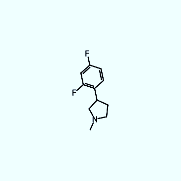 CN1CCC(c2ccc(F)cc2F)C1